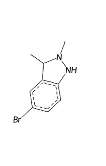 CC1c2cc(Br)ccc2NN1C